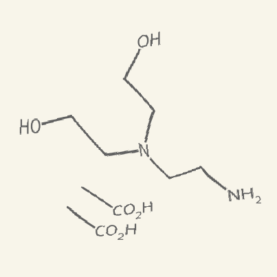 CC(=O)O.CC(=O)O.NCCN(CCO)CCO